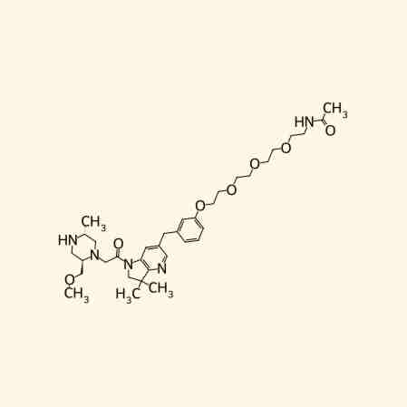 COC[C@H]1CN[C@H](C)CN1CC(=O)N1CC(C)(C)c2ncc(Cc3cccc(OCCOCCOCCOCCNC(C)=O)c3)cc21